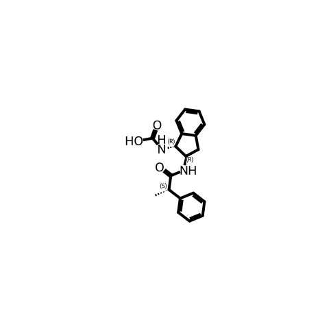 C[C@H](C(=O)N[C@@H]1Cc2ccccc2[C@H]1NC(=O)O)c1ccccc1